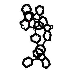 c1ccc(-c2ccc(N(c3cccc4c3C3(c5ccccc5-c5ccccc53)c3ccccc3-4)c3c(-c4ccccc4)ccc4oc5ccc(-c6ccc7c(c6)c6ccccc6n7-c6ccccc6)cc5c34)cc2)cc1